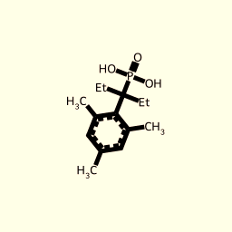 CCC(CC)(c1c(C)cc(C)cc1C)P(=O)(O)O